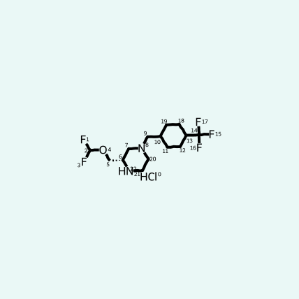 Cl.FC(F)OC[C@@H]1CN(CC2CCC(C(F)(F)F)CC2)CCN1